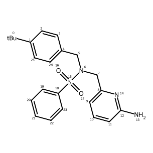 CC(C)(C)c1ccc(CN(Cc2cccc(N)n2)S(=O)(=O)c2ccccc2)cc1